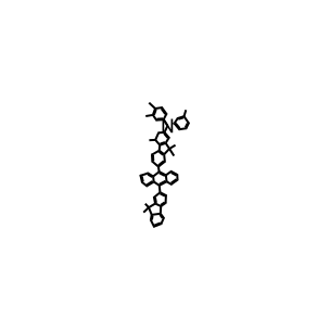 Cc1cccc(N(C2=CC3=C(c4ccc(-c5c6ccccc6c(-c6ccc7c(c6)C(C)(C)c6ccccc6-7)c6ccccc56)cc4C3(C)C)C(C)C2)c2ccc(C)c(C)c2)c1